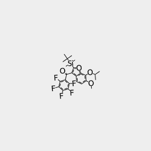 COc1ccc2c(C(=O)c3c(F)c(F)c(F)c(F)c3F)c([Si](C)(C)C(C)(C)C)oc2c1OC(C)C